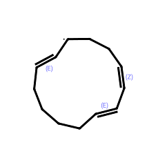 [CH]1/C=C/CCCC/C=C/C=C\CC1